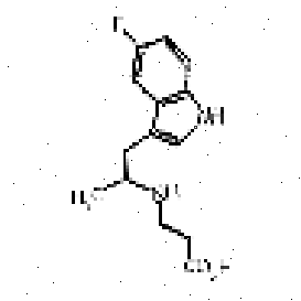 CC(Cc1c[nH]c2ccc(F)cc12)NCCC(=O)O